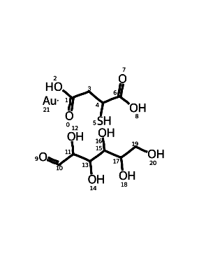 O=C(O)CC(S)C(=O)O.O=CC(O)C(O)C(O)C(O)CO.[Au]